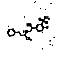 CC(CCc1ccccc1)NCC(O)c1ccc(F)c(S(N)(=O)=O)c1